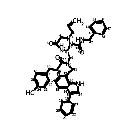 C=CCN1CC(=O)N[C@H](CN(Cc2cccc3c(-c4ccccc4)c[nH]c23)C(=O)CCc2ccc(O)cc2)N1C(=O)NCc1ccccc1